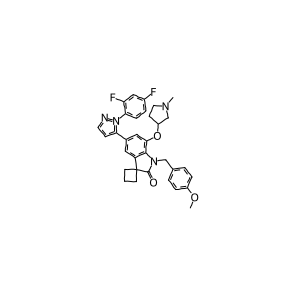 COc1ccc(CN2C(=O)C3(CCC3)c3cc(-c4ccnn4-c4ccc(F)cc4F)cc(OC4CCN(C)C4)c32)cc1